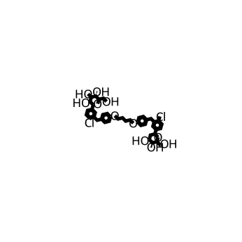 OCC1OC(c2ccc(Cl)c(Cc3ccc(OCCCCOc4ccc(Cc5cc(C6CC(O)[C@H](O)C(CO)O6)ccc5Cl)cc4)cc3)c2)[C@H](O)C(O)[C@@H]1O